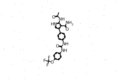 CC(=O)Nc1[nH]cc(-c2ccc(NC(=O)Nc3ccc(OC(F)(F)F)cc3)cc2)c1C(N)=O